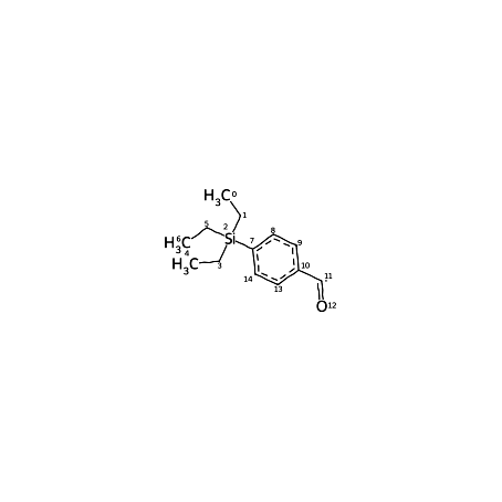 CC[Si](CC)(CC)c1ccc([C]=O)cc1